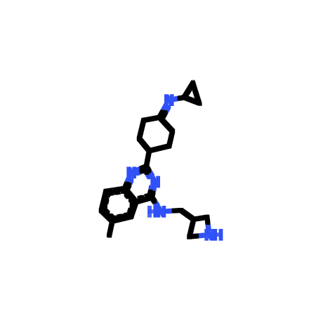 Cc1ccc2nc(C3CCC(=NC4CC4)CC3)nc(NCC3CNC3)c2c1